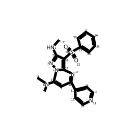 CNc1nn2c(N(C)C)cc(-c3ccncc3)nc2c1S(=O)(=O)c1ccccc1